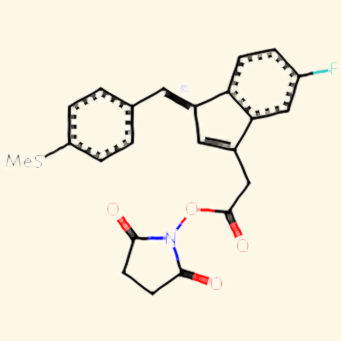 CSc1ccc(/C=C2\C=C(CC(=O)ON3C(=O)CCC3=O)c3cc(F)ccc32)cc1